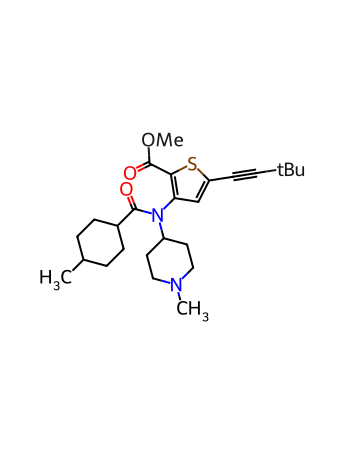 COC(=O)c1sc(C#CC(C)(C)C)cc1N(C(=O)C1CCC(C)CC1)C1CCN(C)CC1